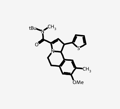 COc1cc2c(cc1C)C1C(c3cccs3)C=C(C(=O)N(C)C(C)(C)C)N1CC2